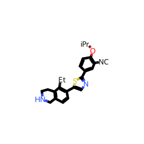 [C-]#[N+]c1cc(-c2ncc(-c3ccc4c(c3CC)CCNC4)s2)ccc1OC(C)C